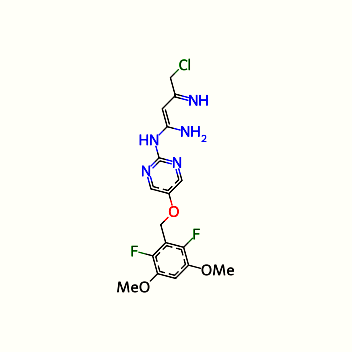 COc1cc(OC)c(F)c(COc2cnc(N/C(N)=C/C(=N)CCl)nc2)c1F